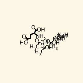 CC(=O)O.CC(=O)O.CC(=O)O.NC(CCC(=O)O)C(=O)O.[NaH].[NaH].[NaH].[NaH]